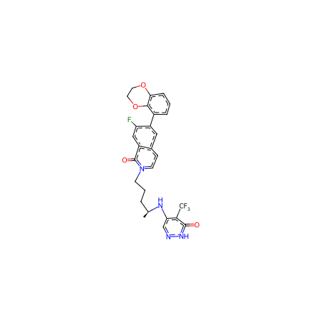 C[C@@H](CCCn1ccc2cc(-c3cccc4c3OCCO4)c(F)cc2c1=O)Nc1cn[nH]c(=O)c1C(F)(F)F